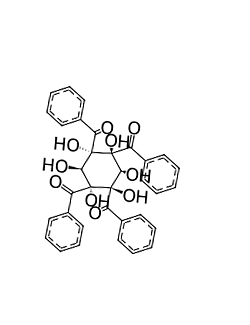 O=C(c1ccccc1)[C@@]1(O)[C@@H](O)[C@@](O)(C(=O)c2ccccc2)[C@](O)(C(=O)c2ccccc2)[C@@H](O)[C@]1(O)C(=O)c1ccccc1